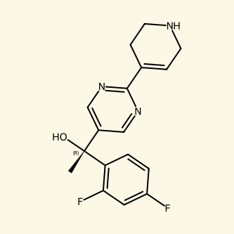 C[C@@](O)(c1cnc(C2=CCNCC2)nc1)c1ccc(F)cc1F